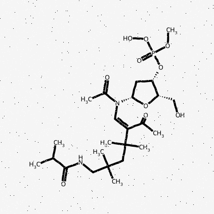 COP(=O)(OO)O[C@H]1C[C@@H](N(/C=C(\C(C)=O)C(C)(C)CC(C)(C)CNC(=O)C(C)C)C(C)=O)O[C@H]1CO